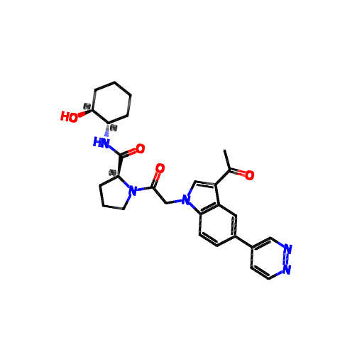 CC(=O)c1cn(CC(=O)N2CCC[C@H]2C(=O)N[C@H]2CCCC[C@@H]2O)c2ccc(-c3ccnnc3)cc12